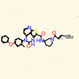 Cc1cc(Oc2ccccc2)ccc1N1C(=O)Nc2c(C(=O)N[C@@H]3CCCN(C(=O)/C=C/C(C)(C)C)C3)sc3nccc1c23